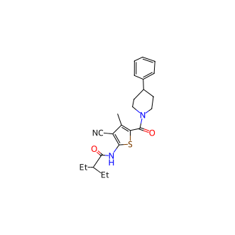 CCC(CC)C(=O)Nc1sc(C(=O)N2CCC(c3ccccc3)CC2)c(C)c1C#N